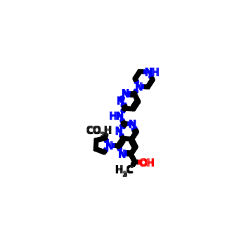 CC(O)c1cc2cnc(Nc3ccc(N4CCNCC4)nn3)nc2c(N2CCCC2C(=O)O)n1